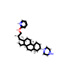 C[C@H](COc1ccccn1)[C@H]1CCC2C3CC[C@H]4C[C@@H](N5CCNCC5)CC[C@]4(C)C3CC[C@@]21C